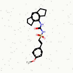 O=C(Nc1c2c(cc3c1CCC3)CCC2)NS(=O)(=O)/C=C/c1ccc(OC(F)(F)F)cc1